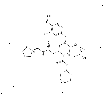 COc1ccc(CN2CC(CC(=O)NC[C@H]3CCCO3)N(C(=O)NC3CCCCC3)[C@@H](CC(C)C)C2=O)cc1OC